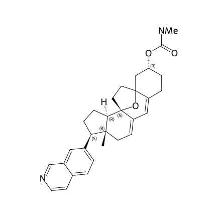 CNC(=O)O[C@@H]1CCC2=CC3=CC[C@]4(C)[C@@H](c5ccc6ccncc6c5)CC[C@H]4[C@@]34CCC2(C1)O4